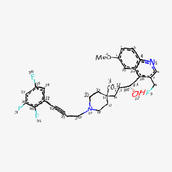 COc1ccc2ncc(CF)c([C@H](O)CCC3(C(=O)O)CCN(CC#Cc4cc(F)cc(F)c4F)CC3)c2c1